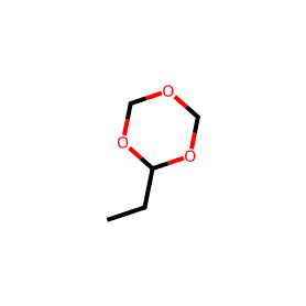 CCC1OCOCO1